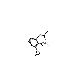 COc1cccc(CC(C)C)c1O